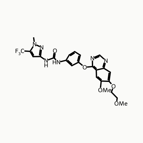 COCCOc1cc2ncnc(Oc3cccc(NC(=O)Nc4cc(C(F)(F)F)n(C)n4)c3)c2cc1OC